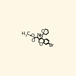 CCOC(=O)c1nn(C2CCCCO2)c2c1COc1cc(Br)ccc1-2